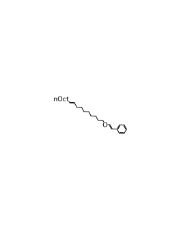 CCCCCCCCC=CCCCCCCCCOC=Cc1ccccc1